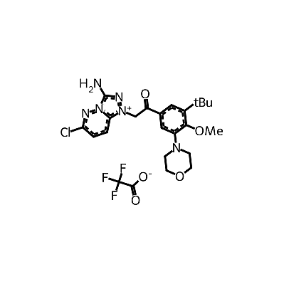 COc1c(N2CCOCC2)cc(C(=O)C[n+]2nc(N)n3nc(Cl)ccc32)cc1C(C)(C)C.O=C([O-])C(F)(F)F